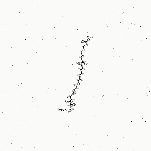 CC(C)(C)OC(=O)CCCCCCC(=O)NCCCOCCOCCOCCCNC(=O)CCC(=O)O